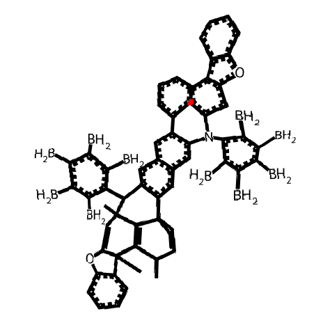 Bc1c(B)c(B)c(C2c3cc4cc(-c5ccccc5)c(N(c5ccc6c(c5)oc5ccccc56)c5c(B)c(B)c(B)c(B)c5B)cc4cc3C3(C)C=CC(C)C4=C3C2(C)C=C2Oc3ccccc3C24C)c(B)c1B